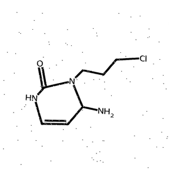 NC1C=CNC(=O)N1CCCCl